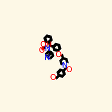 O=Cc1ccc(C(=O)N2CCC(COc3cccc([C@H](c4ccccc4)N(C(=O)O)C4CN5CCC4CC5)c3)CC2)cc1